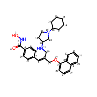 O=C(NO)c1ccc(C=C(CNC2CCN(C3CCCCC3)C2)COc2cccc3ccccc23)cc1